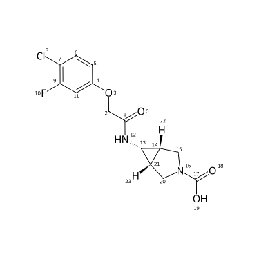 O=C(COc1ccc(Cl)c(F)c1)N[C@@H]1[C@@H]2CN(C(=O)O)C[C@@H]21